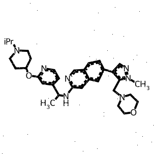 CC(Nc1cc2cc(-c3cnn(C)c3CN3CCOCC3)ccc2cn1)c1ccnc(OC2CCN(C(C)C)CC2)c1